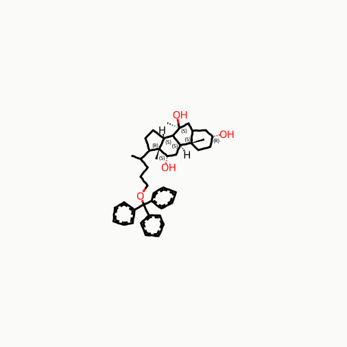 CC(CCCOC(c1ccccc1)(c1ccccc1)c1ccccc1)C1CC[C@H]2C3[C@H](C[C@H](O)[C@]12C)[C@@]1(C)CC[C@@H](O)CC1C[C@]3(C)O